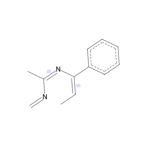 C=N/C(C)=N\C(=C/C)c1ccccc1